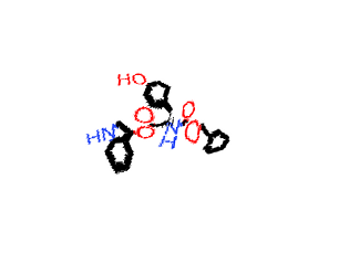 O=C(N[C@@H](Cc1ccc(O)cc1)C(=O)Oc1c[nH]c2ccccc12)OCc1ccccc1